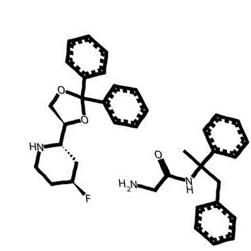 CC(Cc1ccccc1)(NC(=O)CN)c1ccccc1.F[C@H]1CCN[C@H]([C@H]2COC(c3ccccc3)(c3ccccc3)O2)C1